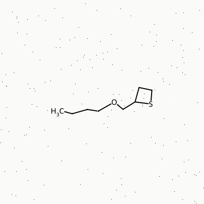 CCCCOCC1CCS1